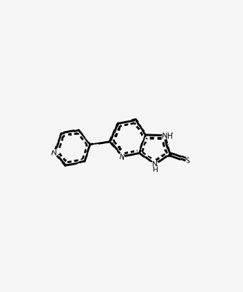 S=c1[nH]c2ccc(-c3ccncc3)nc2[nH]1